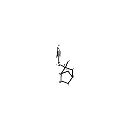 CC1(SC#N)CC2CCC1C2